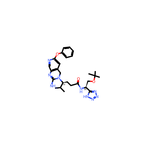 CC(C)[C@H](CCC(=O)N[C@@H](COC(C)(C)C)c1nnn[nH]1)N1Cc2cc(Oc3ccccc3)ncc2N=C1N